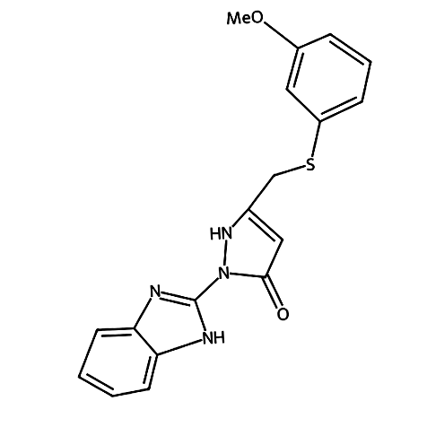 COc1cccc(SCc2cc(=O)n(-c3nc4ccccc4[nH]3)[nH]2)c1